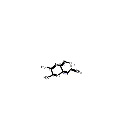 C=C/C=c1/nc(C)c(C)n/c1=C/C